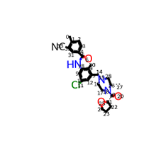 Cc1ccc(C(=O)Nc2cc(Cl)cc(CN3CCN(C(=O)[C@@H]4CCCO4)[C@@H](C)C3)c2C)cc1C#N